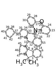 CC1(C)c2ccccc2-c2c(-c3c4ccccc4c(N4c5ccccc5Oc5ccccc54)c4ccc(-c5ccccc5)cc34)cccc21